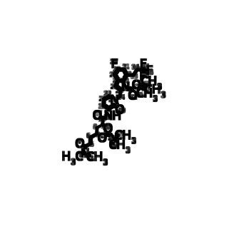 CN(C)C(=O)/C=C/CC[C@H](OC(=O)N(C)C)C(=O)Nc1cccn(Cc2cc3cc(F)cc(CCC(F)(F)F)c3n2C(=O)OC(C)(C)C)c1=O